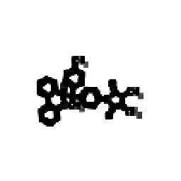 Cc1ccc(C(C)(c2ccc(N3C(=O)C(C)C(C)C3=O)cc2)P2(=O)Oc3ccccc3-c3ccccc32)cc1